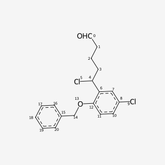 O=CCCCC(Cl)c1cc(Cl)ccc1OCc1ccccc1